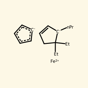 CCC[C-]1C=CCC1(CC)CC.[Fe+2].c1cc[cH-]c1